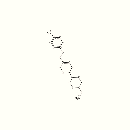 CCC1CCC(C2CC=C(CCc3ccc(C)cc3)CC2)CC1